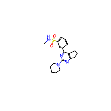 CNS(=O)(=O)c1cccc(-c2nc(N3CCCCC3)nc3c2CCC3)c1